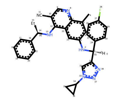 [2H][C@](Nc1cc(C)c2ncc(C#N)c(N[C@H](CC)c3ccccc3)c2c1)(c1ccc(F)cc1)c1cn(C2CC2)nn1